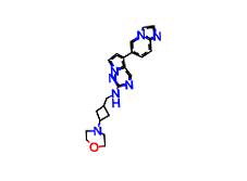 c1cn2cc(-c3ccn4nc(NCC5CC(N6CCOCC6)C5)ncc34)ccc2n1